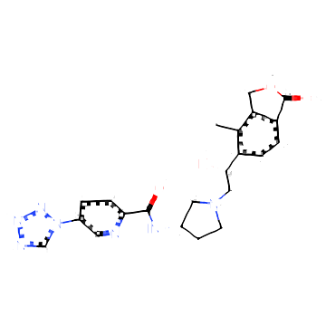 Cc1c([C@@H](O)CN2CC[C@H](NC(=O)c3ccc(-n4cnnn4)cn3)C2)ccc2c1COC2=O